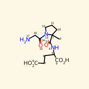 CC1(C(=O)NC(CCC(=O)O)C(=O)O)CCCN1C(=O)CN